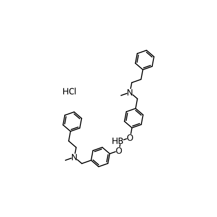 CN(CCc1ccccc1)Cc1ccc(OBOc2ccc(CN(C)CCc3ccccc3)cc2)cc1.Cl